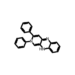 C1=C2Nc3ccccc3N=C2C=C(c2ccccc2)N1c1ccccc1